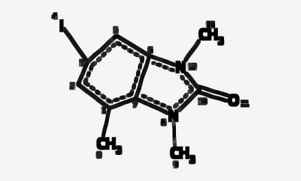 Cc1cc(I)cc2c1n(C)c(=O)n2C